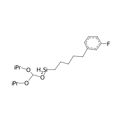 CC(C)OC(O[SiH2]CCCCCc1cccc(F)c1)OC(C)C